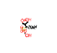 CNC(C(CO)CO)S(=O)(=O)OCO.[NaH]